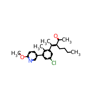 CCCC/C(C(C)=O)=C(/C)c1cc(Cl)cc(-c2ccc(OC)nc2)c1C